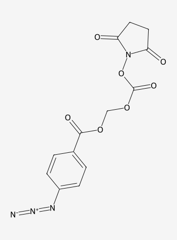 [N-]=[N+]=Nc1ccc(C(=O)OCOC(=O)ON2C(=O)CCC2=O)cc1